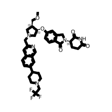 COC[C@@H]1CN(Cc2cc3ccc(C4CCN(CC(F)(F)F)CC4)cc3cn2)C[C@H]1Oc1ccc2c(c1)CN([C@H]1CCC(=O)NC1=O)C2=O